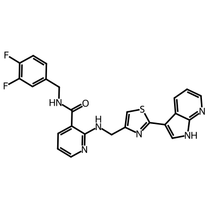 O=C(NCc1ccc(F)c(F)c1)c1cccnc1NCc1csc(-c2c[nH]c3ncccc23)n1